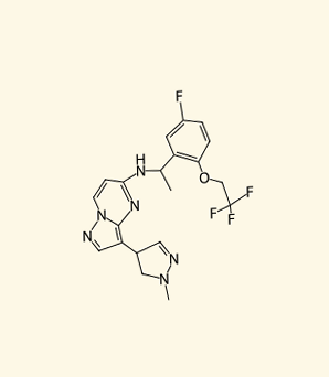 CC(Nc1ccn2ncc(C3C=NN(C)C3)c2n1)c1cc(F)ccc1OCC(F)(F)F